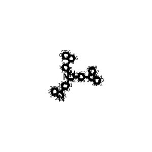 C1=Cc2c(cccc2-c2cccc(-c3nc(-c4ccc(-c5cncc6ccccc56)cc4)cc(-c4ccc(-c5cc6ccccc6c6ccccc56)cc4)n3)c2)CC1